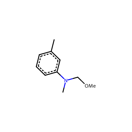 COCN(C)c1cccc(C)c1